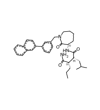 CCC[C@H](C(N)=O)[C@@H](CC(C)C)C(=O)N[C@H]1CCCCN(Cc2cccc(-c3ccc4ccccc4c3)c2)C1=O